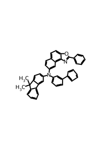 CC1(C)c2ccccc2-c2cc(N(c3cccc(-c4ccccc4)c3)c3ccc4ccc5oc(-c6ccccc6)nc5c4c3)ccc21